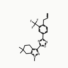 C=CCc1ccc(-c2noc(-c3nn(C)c4c3CCC(C)(C)C4)n2)cc1C(F)(F)F